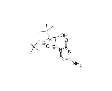 CC(C)(C)C[C@H]1O[C@@H](n2ccc(N)nc2=O)C(O)[C@H]1C(C)(C)C